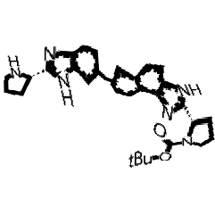 CC(C)(C)OC(=O)N1CCC[C@H]1c1nc2c(ccc3cc(-c4ccc5nc([C@@H]6CCCN6)[nH]c5c4)ccc32)[nH]1